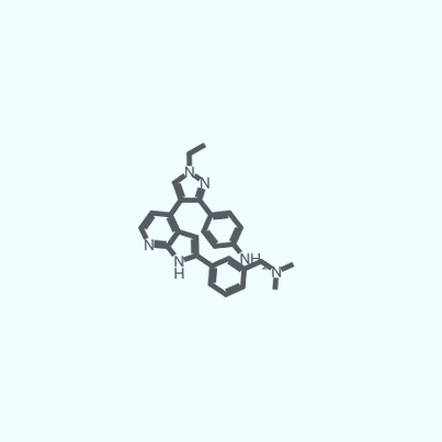 CCn1cc(-c2ccnc3[nH]c(-c4cccc(CN(C)C)c4)cc23)c(-c2ccc(N)cc2)n1